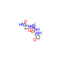 C#CC(=O)N(C[C@@H]1CCNC1=O)NC(=O)[C@H](CC(C)C)NC(=O)c1cc2c(OC)cccc2[nH]1